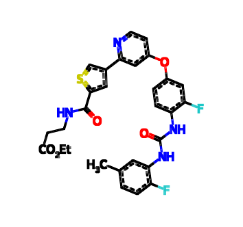 CCOC(=O)CCNC(=O)c1cc(-c2cc(Oc3ccc(NC(=O)Nc4cc(C)ccc4F)c(F)c3)ccn2)cs1